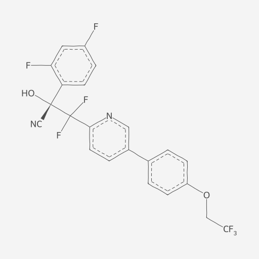 N#C[C@@](O)(c1ccc(F)cc1F)C(F)(F)c1ccc(-c2ccc(OCC(F)(F)F)cc2)cn1